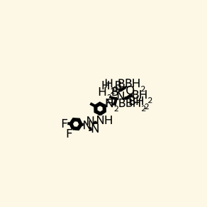 BC1(B)OC(B)(B)C(B)(B)N(C2CN(c3cc(C)cc(Nc4ncn(-c5ccc(F)c(F)c5)n4)c3)C2)C1(B)B